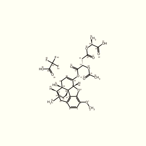 COc1ccc2c3c1O[C@H]1C(OC(=O)[C@H](CC(=O)O[C@@H](C)C(=O)O)OC(C)=O)=CC[C@@]4(O)[C@@H](C2)N(C)CC[C@]314.O=C(O)C(F)(F)F